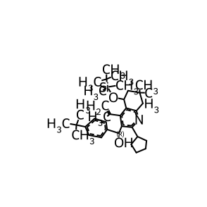 C=C(C)c1c2c(nc(C3CCCC3)c1[C@H](O)c1ccc(C(C)(C)C)cc1)CC(C)(C)CC2O[Si](C)(C)C(C)(C)C